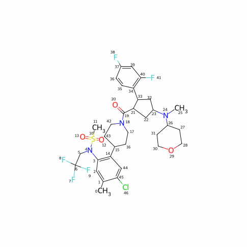 Cc1cc(N(CC(F)(F)F)S(C)(=O)=O)c(C2CCN(C(=O)C3CC(N(C)C4CCOCC4)CC3c3ccc(F)cc3F)CC2)cc1Cl